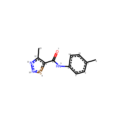 Cc1ccc(NC(=O)c2snnc2C)cc1